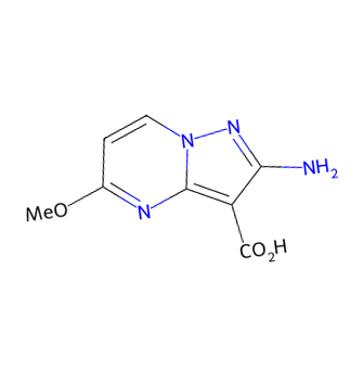 COc1ccn2nc(N)c(C(=O)O)c2n1